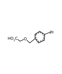 CC(C)c1ccc(COCC(=O)O)cc1